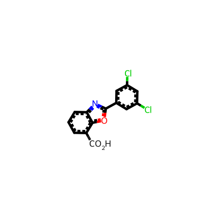 O=C(O)c1cccc2nc(-c3cc(Cl)cc(Cl)c3)oc12